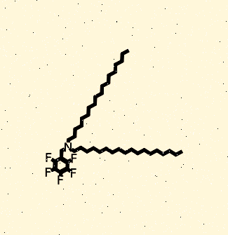 CCCCCCCCCCCCCCCCCCN(CCCCCCCCCCCCCCCCCC)Cc1c(F)c(F)c(F)c(F)c1F